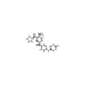 CN1CCN(Cc2ccc(Nc3ccc([N+](=O)[O-])c(NC4CCCC4)n3)cc2)CC1